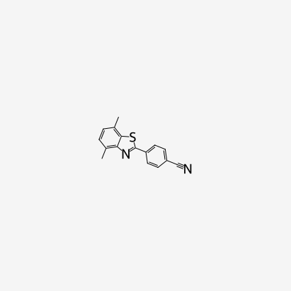 Cc1ccc(C)c2sc(-c3ccc(C#N)cc3)nc12